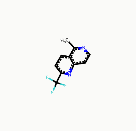 Cc1nccc2nc(C(F)(F)F)ccc12